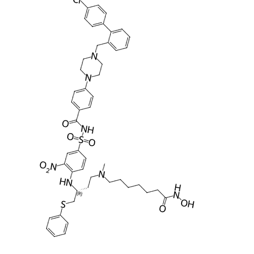 CN(CCCCCCC(=O)NO)CC[C@H](CSc1ccccc1)Nc1ccc(S(=O)(=O)NC(=O)c2ccc(N3CCN(Cc4ccccc4-c4ccc(Cl)cc4)CC3)cc2)cc1[N+](=O)[O-]